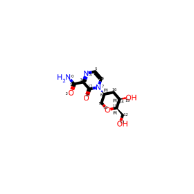 NC(=O)c1nccn([C@H]2CO[C@H](CO)[C@H](O)C2)c1=O